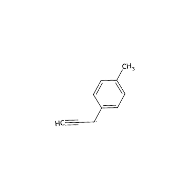 C#C[CH]c1ccc(C)cc1